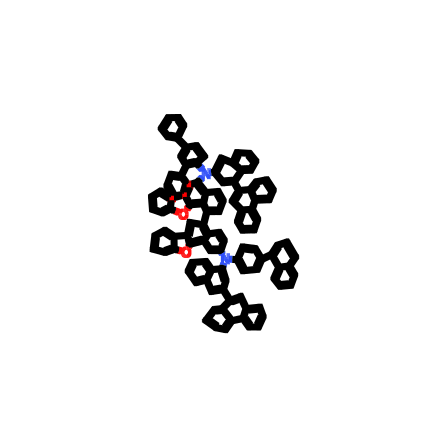 c1ccc(-c2ccc(N(c3cc(-c4cc5ccccc5c5ccccc45)c4ccccc4c3)c3cc4c5ccccc5oc4c4c(-c5cc6c7ccccc7oc6c6cc(N(c7ccc(-c8cccc9ccccc89)cc7)c7cc(-c8cc9ccccc9c9ccccc89)cc8ccccc78)ccc56)cccc34)c(-c3ccccc3)c2)cc1